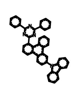 c1ccc(-c2nc(-c3ccccc3)nc(-c3cccc4c5ccc(-n6c7ccccc7c7ccccc76)cc5c5ccccc5c34)n2)cc1